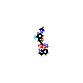 Cn1ccc2cccc(S(=O)(=O)NC(=O)c3cc4c(F)cc(N5CCC5)cc4o3)c21